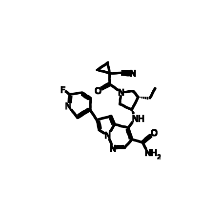 CC[C@H]1CN(C(=O)C2(C#N)CC2)C[C@H]1Nc1c(C(N)=O)cnn2cc(-c3ccc(F)nc3)cc12